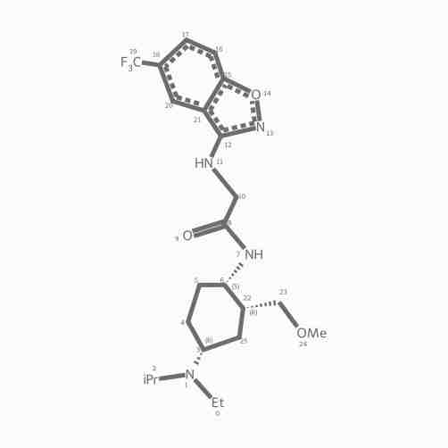 CCN(C(C)C)[C@@H]1CC[C@H](NC(=O)CNc2noc3ccc(C(F)(F)F)cc23)[C@H](COC)C1